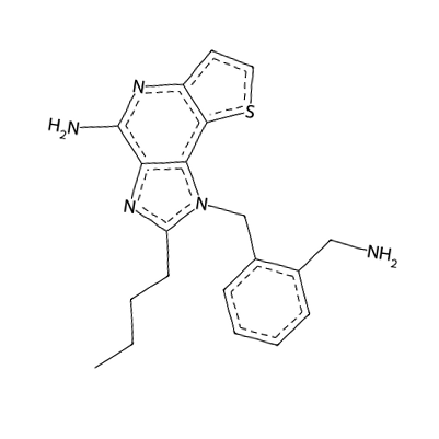 CCCCc1nc2c(N)nc3ccsc3c2n1Cc1ccccc1CN